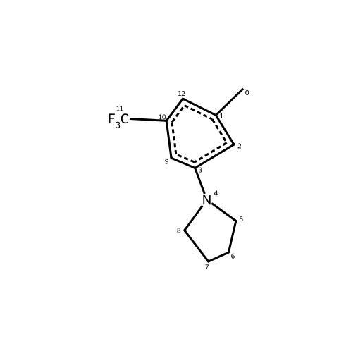 Cc1cc(N2CCCC2)cc(C(F)(F)F)c1